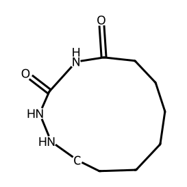 O=C1CCCCCCCNNC(=O)N1